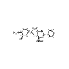 CNc1nc(-c2cccnc2)nc2ccc(-c3ccc(N)c(F)c3)cc12